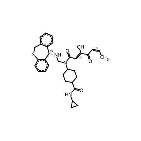 C/C=C\C(=O)/C(O)=C/C(=O)N(CN[C@H]1c2ccccc2CSc2ccccc21)C1CCC(C(=O)NC2CC2)CC1